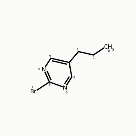 CCCc1cnc(Br)nc1